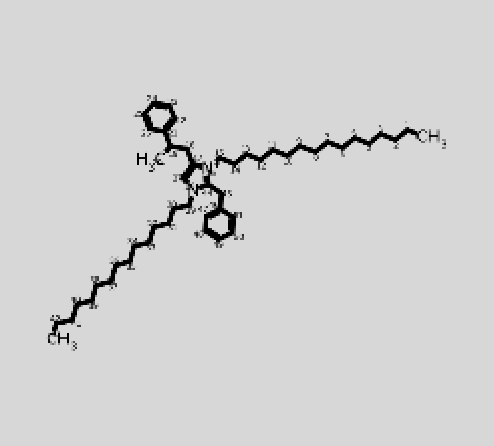 CCCCCCCCCCCCCCCC[n+]1c(CC(C)c2ccccc2)cn(CCCCCCCCCCCCCCC)c1Cc1ccccc1